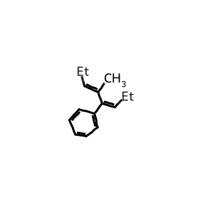 [CH2]CC=C(C(C)=CCC)c1ccccc1